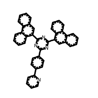 c1ccc(-c2ccc(-c3nc(-c4cc5ccccc5c5ccccc45)nc(-c4cc5ccccc5c5ccccc45)n3)cc2)nc1